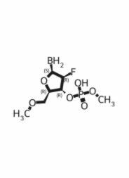 B[C@@H]1O[C@H](COC)[C@@H](OP(=O)(O)OC)[C@@H]1F